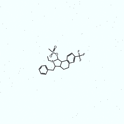 CCN1C(Cc2ccccc2)C2CCc3cc(C(F)(F)F)ccc3C2C1OS(C)(=O)=O